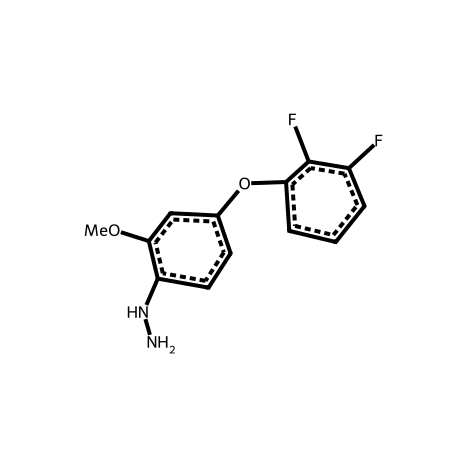 COc1cc(Oc2cccc(F)c2F)ccc1NN